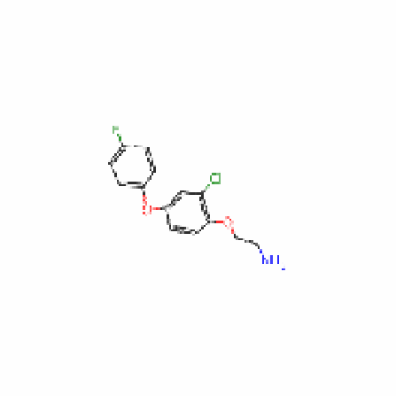 NCCOc1ccc(Oc2ccc(F)cc2)cc1Cl